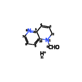 O=CN1CC=Cc2ncccc21.[H+]